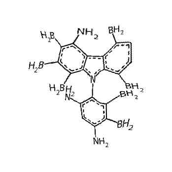 Bc1c(N)cc(N)c(-n2c3c(B)ccc(B)c3c3c(N)c(B)c(B)c(B)c32)c1B